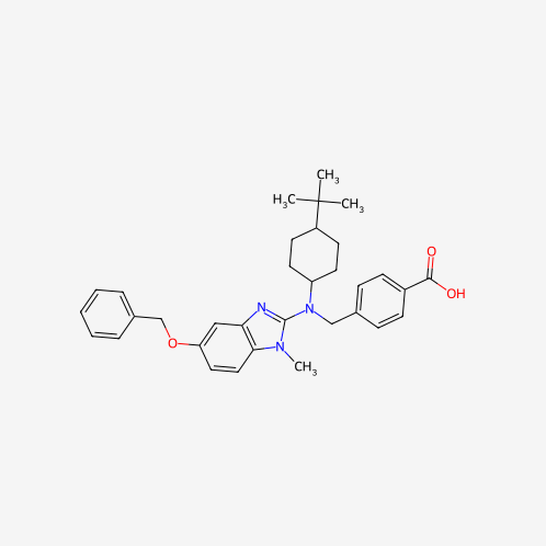 Cn1c(N(Cc2ccc(C(=O)O)cc2)C2CCC(C(C)(C)C)CC2)nc2cc(OCc3ccccc3)ccc21